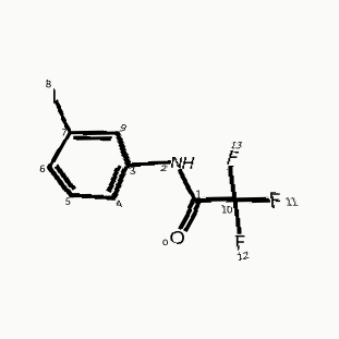 O=C(Nc1cccc(I)c1)C(F)(F)F